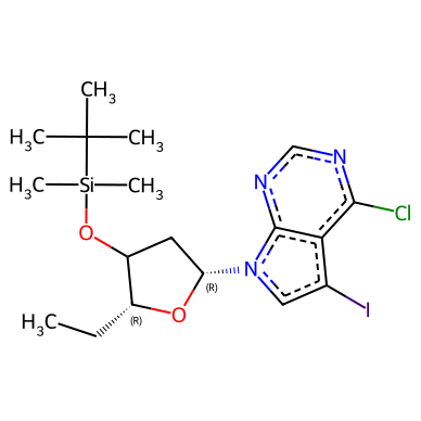 CC[C@H]1O[C@@H](n2cc(I)c3c(Cl)ncnc32)CC1O[Si](C)(C)C(C)(C)C